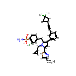 NS(=O)(=O)c1ccc(Cc2c(-c3cccc(C#CC4CC(F)(F)C4)c3)cc(-c3nc(C(=O)O)cs3)n2CC2CC2)cc1F